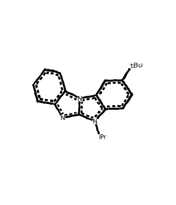 CC(C)n1c2ccc(C(C)(C)C)cc2n2c3ccccc3nc12